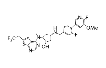 COc1cc(-c2ccc(CN[C@H]3C[C@@H](O)[C@@H](N(C)c4ncnc5sc(CC(F)(F)F)cc45)C3)cc2F)cnc1F